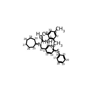 Cc1cc(C)c(NC(=O)N(Cc2ccc(Sc3ccccc3)nc2)C2CCCCCC2)c(C)c1